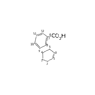 C1=CCCCC1.O=C(O)c1ccccc1